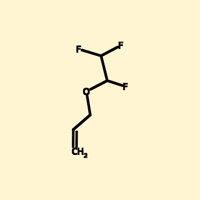 C=CCOC(F)C(F)F